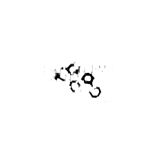 COc1cc(N2CCC(O)CC2)ccc1Nc1ncc2c(n1)N(C1CCOCC1)CC(=O)N(C)C2